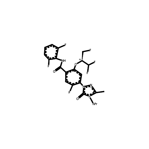 CCCn1c(C)nn(-c2cc(O[C@@H](CF)C(F)F)c(C(=O)Nc3c(F)cccc3F)cc2F)c1=O